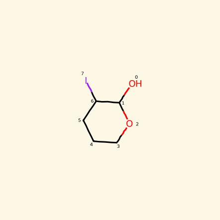 OC1OCCCC1I